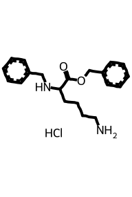 Cl.NCCCCC(NCc1ccccc1)C(=O)OCc1ccccc1